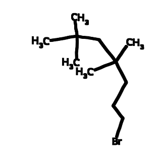 CC(C)(C)CC(C)(C)CCCBr